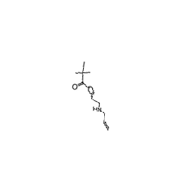 C=CCNCCOC(=O)C(C)(C)I